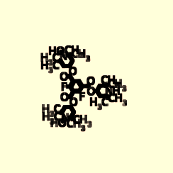 CC1(C)CC(OC(=O)c2cc(C(=O)OC3CC(C)(C)N(O)C(C)(C)C3)c(F)c(C(=O)OC3CC(C)(C)N(O)C(C)(C)C3)c2F)CC(C)(C)N1